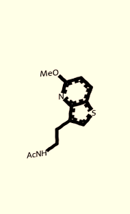 COc1ccc2scc(CCNC(C)=O)c2n1